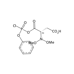 CON(OC)[C@@H](CC(=O)O)C(=O)OP(=O)(Cl)Oc1ccccc1